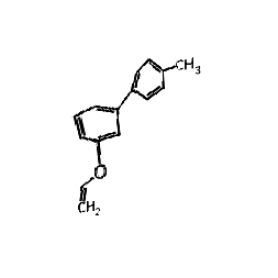 C=COc1cccc(-c2ccc(C)cc2)c1